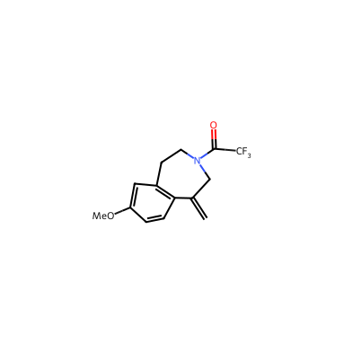 C=C1CN(C(=O)C(F)(F)F)CCc2cc(OC)ccc21